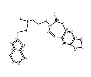 CN(CCCN1C=Cc2cc3c(cc2CC1=O)OCO3)CCc1cc2ccccc2o1